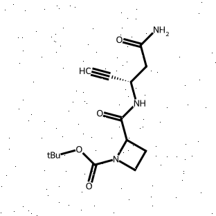 C#C[C@H](CC(N)=O)NC(=O)C1CCN1C(=O)OC(C)(C)C